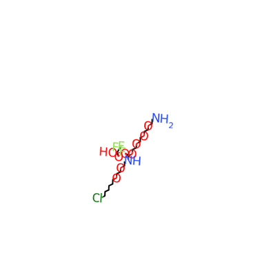 NCCOCCOCCOCCOC(=O)NCCOCCOCCCCCCCl.O=C(O)C(F)(F)F